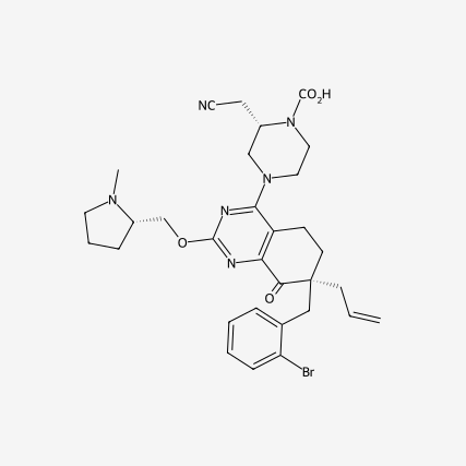 C=CC[C@@]1(Cc2ccccc2Br)CCc2c(nc(OC[C@@H]3CCCN3C)nc2N2CCN(C(=O)O)[C@@H](CC#N)C2)C1=O